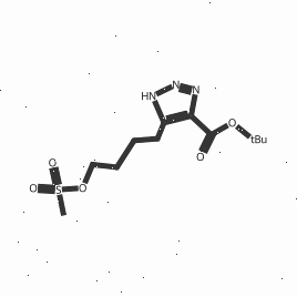 CC(C)(C)OC(=O)c1nn[nH]c1CCCCOS(C)(=O)=O